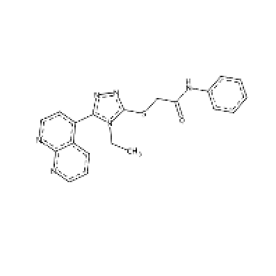 CCn1c(SCC(=O)Nc2ccccc2)nnc1-c1ccnc2ncccc12